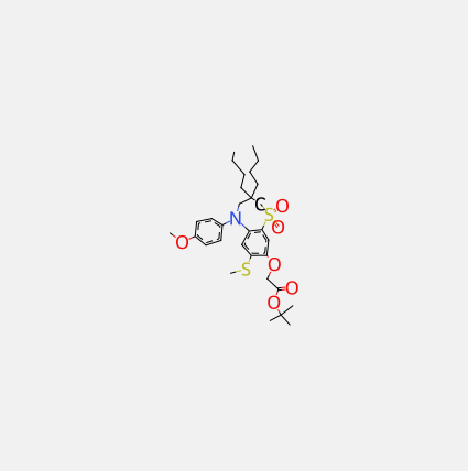 CCCCC1(CCCC)CN(c2ccc(OC)cc2)c2cc(SC)c(OCC(=O)OC(C)(C)C)cc2S(=O)(=O)C1